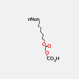 CCCCCCCCCCCCCCCCOC(=O)COCC(=O)O